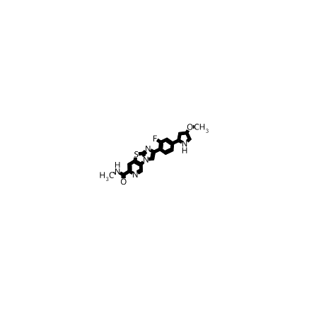 CNC(=O)c1cc2sc3nc(-c4ccc(C5CC(OC)CN5)cc4F)cn3c2cn1